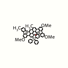 COc1ccc2c(c1)-c1cc(OC)cc3c1B2c1cc2c([Si](c4ccccc4)(c4ccccc4)c4ccccc4)cc4c5c(cc6c(C)cc-3c1c6c25)B1c2ccc(C)cc2-c2cc(OC)cc-4c21